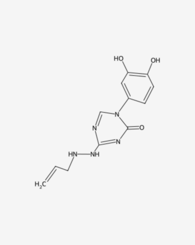 C=CCNNc1ncn(-c2ccc(O)c(O)c2)c(=O)n1